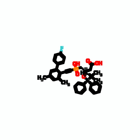 Cc1cc(C)c(C#CP(=O)(O)C[C@H](CC(=O)O)O[Si](c2ccccc2)(c2ccccc2)C(C)(C)C)c(-c2ccc(F)cc2)c1